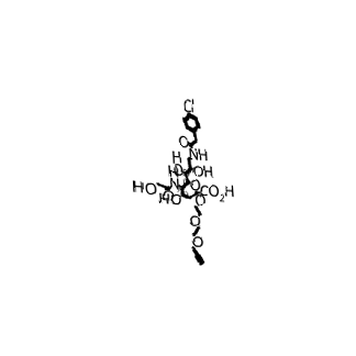 C#CCOCCOCCO[C@]1(C(=O)O)C[C@H](O)[C@@H](NC(=O)CO)[C@H]([C@H](O)[C@H](O)CNC(=O)Cc2ccc(Cl)cc2)O1